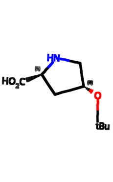 CC(C)(C)O[C@H]1CN[C@H](C(=O)O)C1